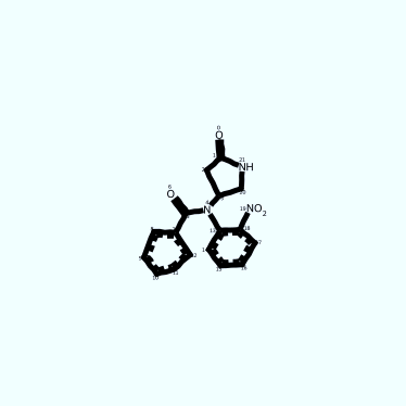 O=C1CC(N(C(=O)c2ccccc2)c2ccccc2[N+](=O)[O-])CN1